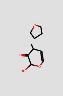 C1CCOC1.CC1C=COC(O)C1=O